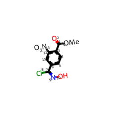 COC(=O)c1ccc(/C(Cl)=N\O)cc1[N+](=O)[O-]